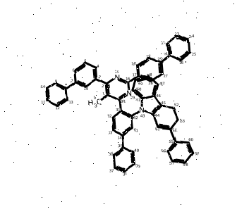 Cc1c(-c2cccc(-c3ccccc3)c2)nc(-c2ccc(-c3ccccc3)cc2)nc1-c1ccc(-c2ccccc2)cc1-n1c2c(c3ccccc31)CCC(c1ccccc1)=C2